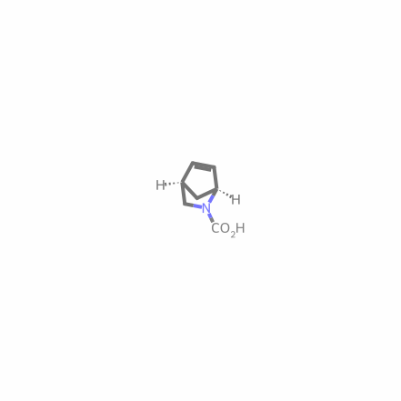 O=C(O)N1C[C@H]2C=C[C@@H]1C2